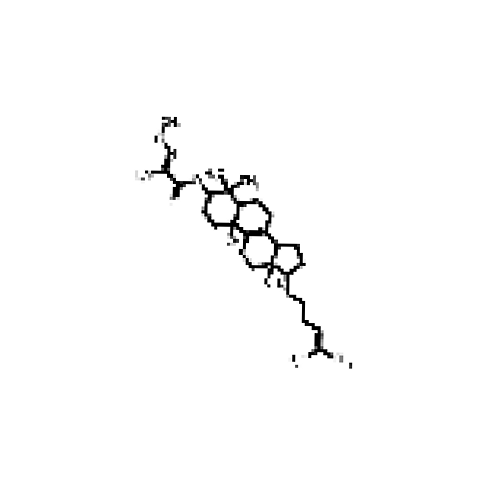 CON=C(N)C(=O)OC1CCC2(C)C3=C(CCC2C1(C)C)C1CCC(CCCC=C(C)C)C1(C)CC3